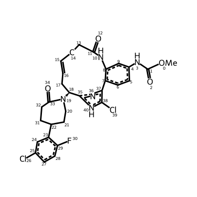 COC(=O)Nc1ccc2c(c1)NC(=O)CC/C=C/C[C@H](N1CCC(c3cc(Cl)ccc3F)CCC1=O)c1nc-2c(Cl)[nH]1